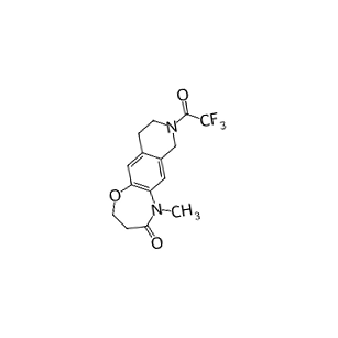 CN1C(=O)CCOc2cc3c(cc21)CN(C(=O)C(F)(F)F)CC3